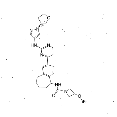 CC(C)OC1CN(C(=O)NC2CCCCc3cc(-c4ccnc(Nc5cnn([C@H]6CCOC6)c5)n4)ccc32)C1